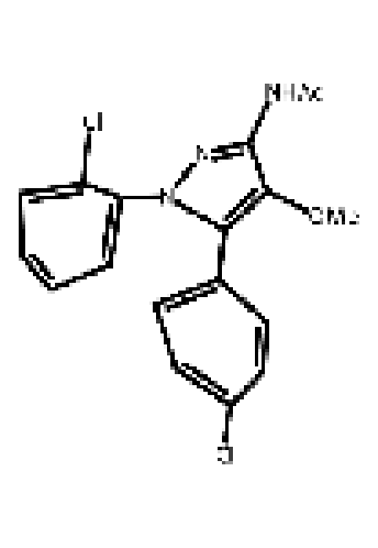 COc1c(NC(C)=O)nn(-c2ccccc2Cl)c1-c1ccc(Cl)cc1